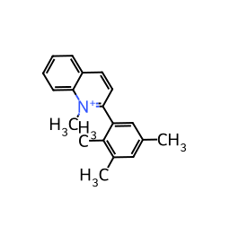 Cc1cc(C)c(C)c(-c2ccc3ccccc3[n+]2C)c1